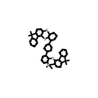 CC1(C)c2ccccc2-c2c1ccc1c2Oc2c(-c3ccc(-c4cccc5c4Sc4c(ccc6c4-c4ccccc4C6(C)C)S5)cc3)cccc2[Si]1(C)C